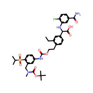 CCc1cc(C(Nc2cc(C(N)=O)ccc2F)C(=O)O)ccc1CCOC(=O)Nc1ccc(S(=O)(=O)C(C)C)c(CN(C)C(=O)OC(C)(C)C)c1